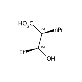 CCC[C@H](C(=O)O)[C@@H](O)CC